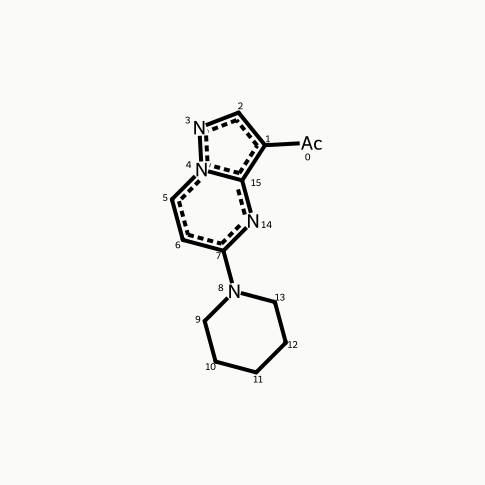 CC(=O)c1cnn2ccc(N3CCCCC3)nc12